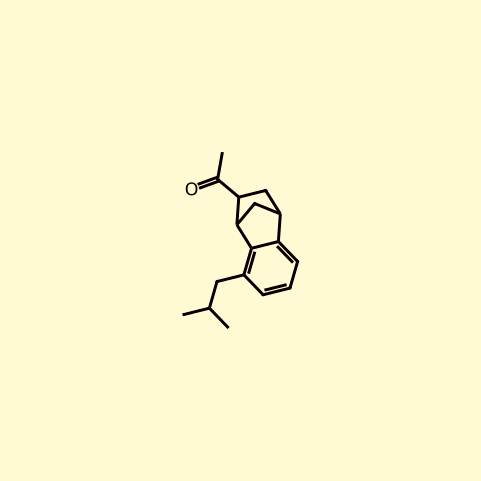 CC(=O)C1CC2CC1c1c(CC(C)C)cccc12